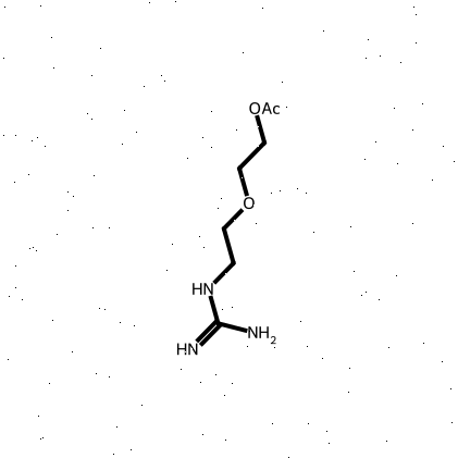 CC(=O)OCCOCCNC(=N)N